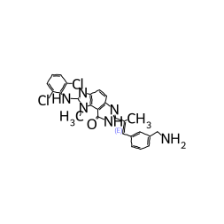 C/C(=C\c1cccc(CN)c1)c1nc2ccc3nc(Nc4c(Cl)cccc4Cl)n(C)c3c2c(=O)[nH]1